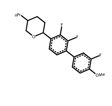 CCCC1CCC(c2ccc(-c3ccc(OC)c(F)c3)c(F)c2F)OC1